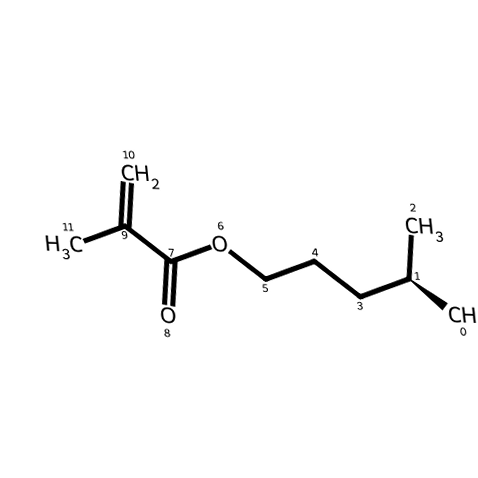 [CH2][C@H](C)CCCOC(=O)C(=C)C